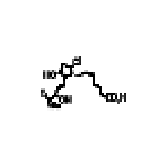 CCCCC(F)[C@H](O)/C=C/[C@@H]1[C@@H](C/C=C\CCCC(=O)O)[C@H](Cl)C[C@H]1O